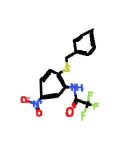 O=C(Nc1cc([N+](=O)[O-])ccc1SCc1ccccc1)C(F)(F)F